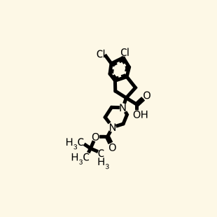 CC(C)(C)OC(=O)N1CCN(C2(C(=O)O)Cc3cc(Cl)c(Cl)cc3C2)CC1